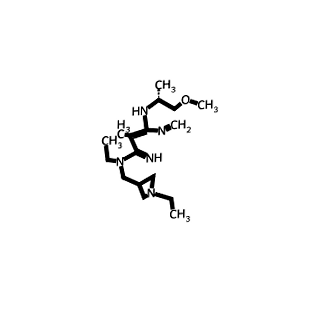 C=N/C(N[C@H](C)COC)=C(/C)C(=N)N(CC)CC1CN(CC)C1